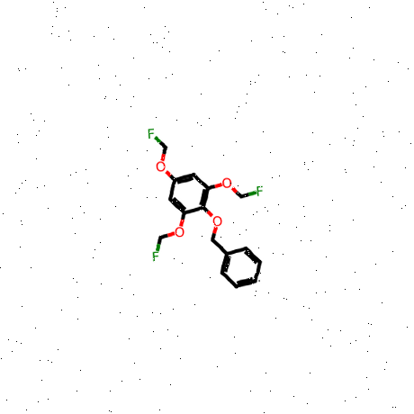 FCOc1cc(OCF)c(OCc2cc[c]cc2)c(OCF)c1